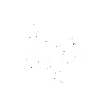 CCOc1cc(-c2cnn(C)c2-c2ccc3ccccc3c2C#N)cc2c(CNC(=O)c3ccccc3C(=O)O)n[nH]c(=O)c12